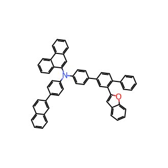 c1ccc(-c2ccc(-c3ccc(N(c4ccc(-c5ccc6ccccc6c5)cc4)c4cc5ccccc5c5ccccc45)cc3)cc2-c2cc3ccccc3o2)cc1